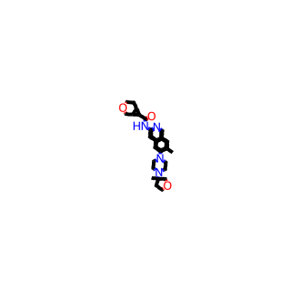 Cc1cc2cnc(NC(=O)C3C4CCOCC43)cc2cc1N1CCN(C2(C)CCOC2)CC1